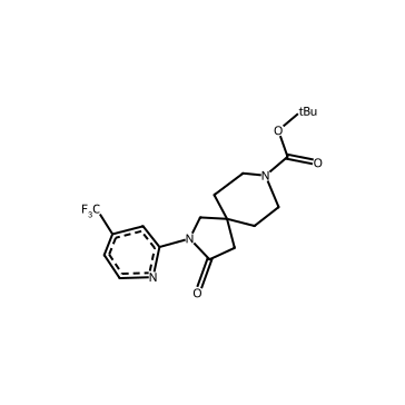 CC(C)(C)OC(=O)N1CCC2(CC1)CC(=O)N(c1cc(C(F)(F)F)ccn1)C2